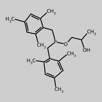 Cc1cc(C)c(CP(Cc2c(C)cc(C)cc2C)OCC(C)O)c(C)c1